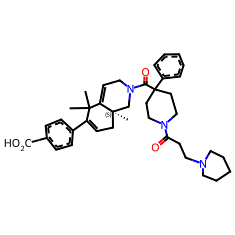 CC1(C)C(c2ccc(C(=O)O)cc2)=CC[C@]2(C)CN(C(=O)C3(c4ccccc4)CCN(C(=O)CCN4CCCCC4)CC3)CC=C12